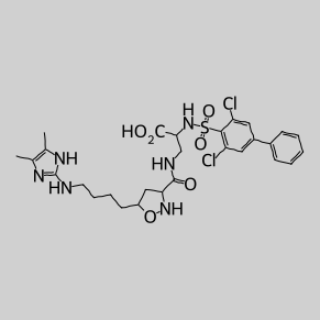 Cc1nc(NCCCCC2CC(C(=O)NCC(NS(=O)(=O)c3c(Cl)cc(-c4ccccc4)cc3Cl)C(=O)O)NO2)[nH]c1C